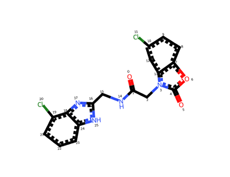 O=C(Cn1c(=O)oc2ccc(Cl)cc21)NCc1nc2c(Cl)cccc2[nH]1